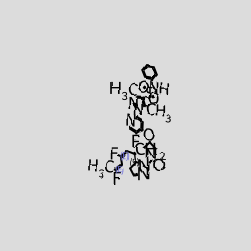 C=C(/C=C(F)\C=C(/C)F)[C@@H]1CC=NN1C(=O)N1CC(Oc2cc(-n3nc(C)c(S(=O)(=O)Nc4ccccc4)c3C)ncc2F)C1